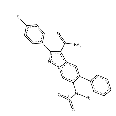 CCN(c1cn2nc(-c3ccc(F)cc3)c(C(N)=O)c2cc1-c1ccccc1)[SH](=O)=O